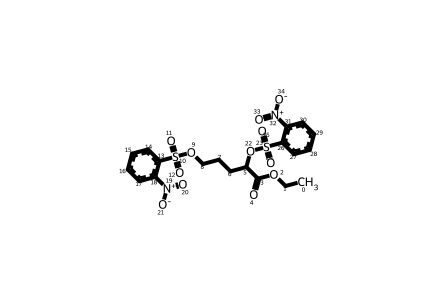 CCOC(=O)C(CCCOS(=O)(=O)c1ccccc1[N+](=O)[O-])OS(=O)(=O)c1ccccc1[N+](=O)[O-]